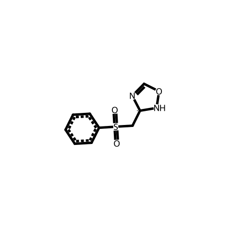 O=S(=O)(C[C]1N=CON1)c1ccccc1